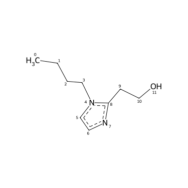 CCCCn1ccnc1CCO